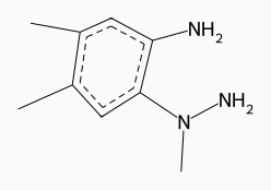 Cc1cc(N)c(N(C)N)cc1C